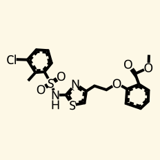 COC(=O)c1ccccc1OCCc1csc(NS(=O)(=O)c2cccc(Cl)c2C)n1